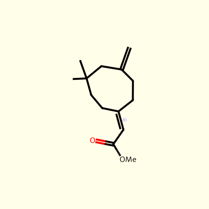 C=C1CC/C(=C/C(=O)OC)CCC(C)(C)C1